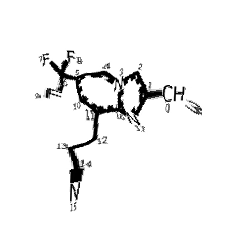 Cc1cn2cc(C(F)(F)F)cc(CCC#N)c2n1